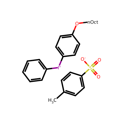 CCCCCCCCOc1ccc([I+]c2ccccc2)cc1.Cc1ccc(S(=O)(=O)[O-])cc1